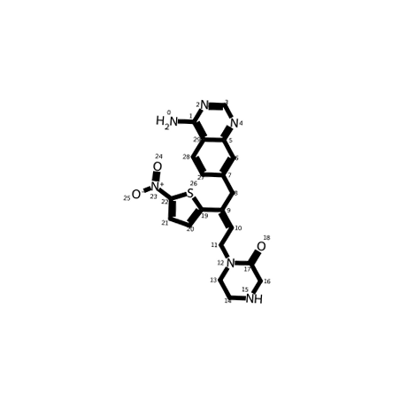 Nc1ncnc2cc(CC(=CCN3CCNCC3=O)c3ccc([N+](=O)[O-])s3)ccc12